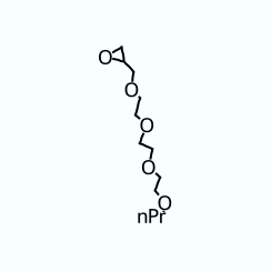 CCCOCCOCCOCCOCC1CO1